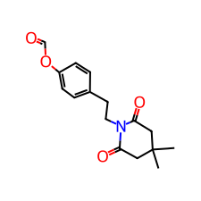 CC1(C)CC(=O)N(CCc2ccc(OC=O)cc2)C(=O)C1